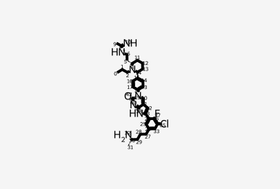 CCCN1[C@H](CCNC(C)=N)CCC[C@H]1c1ccc(-n2cc3cc(-c4cc(CCC[C@H](C)N)cc(Cl)c4F)[nH]c3nc2=O)cc1